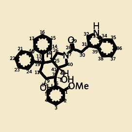 COc1ccccc1[C@@]1(O)[C@H](O)CC(c2ccccc2)(c2ccccc2)[C@@H]2CN(C(=O)Cc3c[nH]c4ccccc34)C[C@@H]21